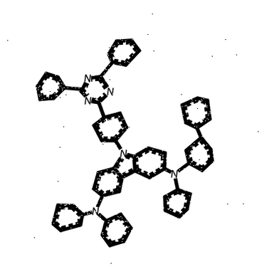 c1ccc(-c2cccc(N(c3ccccc3)c3ccc4c(c3)c3cc(N(c5ccccc5)c5ccccc5)ccc3n4-c3ccc(-c4nc(-c5ccccc5)nc(-c5ccccc5)n4)cc3)c2)cc1